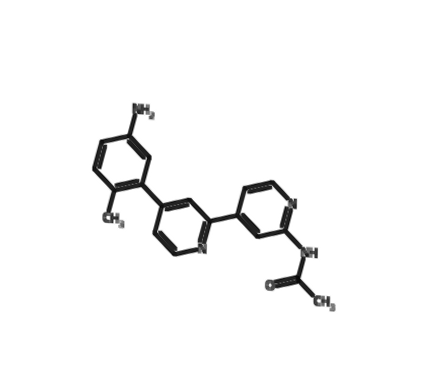 CC(=O)Nc1cc(-c2cc(-c3cc(N)ccc3C)ccn2)ccn1